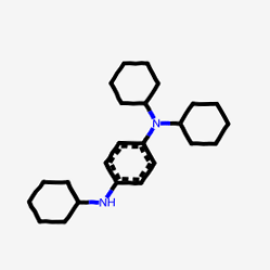 c1cc(N(C2CCCCC2)C2CCCCC2)ccc1NC1CCCCC1